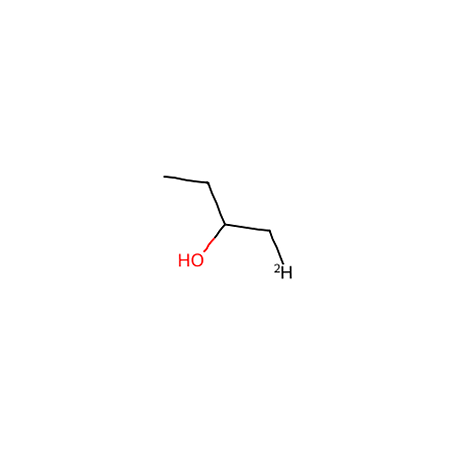 [2H]CC(O)CC